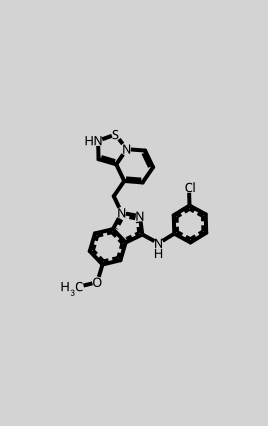 COc1ccc2c(c1)c(Nc1cccc(Cl)c1)nn2CC1=CC=CN2SNC=C12